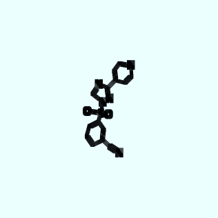 N#Cc1cccc(S(=O)(=O)n2cnc(-c3ccncc3)n2)c1